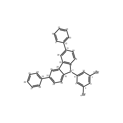 Brc1cc(Br)cc(-p2c3ccc(-c4ccccc4)cc3c3cc(-c4ccccc4)ccc32)c1